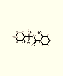 CC(C)(OC(=O)C1CCCCC1O)C1CCNCC1